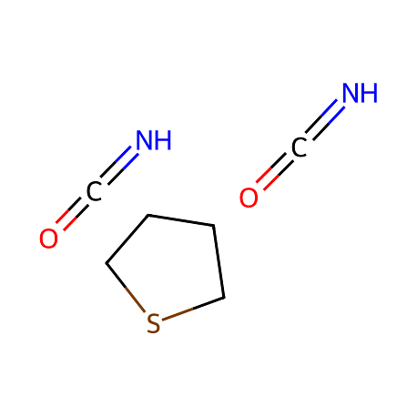 C1CCSC1.N=C=O.N=C=O